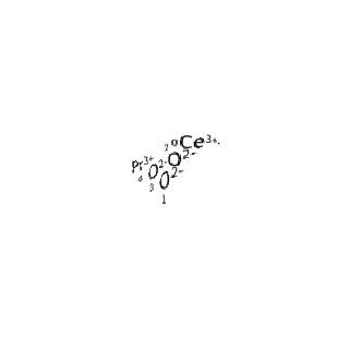 [Ce+3].[O-2].[O-2].[O-2].[Pr+3]